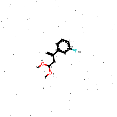 C=C(CC(OC)OC)c1cccc(F)c1